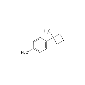 Cc1ccc(C2(C)CCC2)cc1